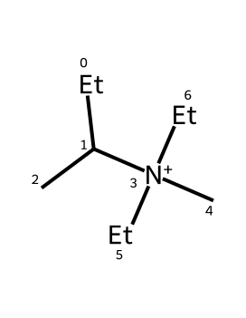 CCC(C)[N+](C)(CC)CC